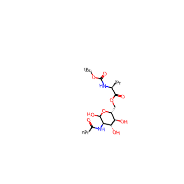 CCCC(=O)N[C@H]1C(O)O[C@H](COC(=O)[C@@H](NC(=O)OC(C)(C)C)C(C)C)[C@@H](O)[C@@H]1O